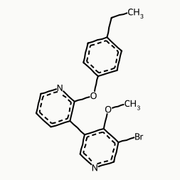 CCc1ccc(Oc2ncccc2-c2cncc(Br)c2OC)cc1